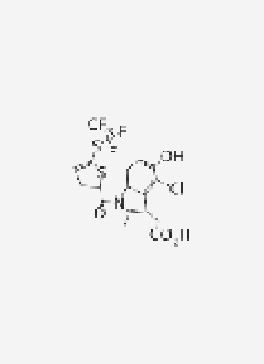 CC1=C(CC(=O)O)C2=C(Cl)C(O)=CCC2N1C(=O)c1ccc(SC(F)(F)C(F)(F)F)s1